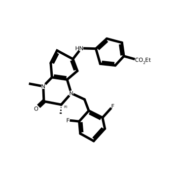 CCOC(=O)c1ccc(Nc2ccc3c(c2)N(Cc2c(F)cccc2F)[C@H](C)C(=O)N3C)cc1